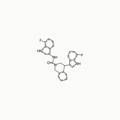 O=C(Nc1c[nH]c2c(F)cccc12)N1Cc2ccccc2C(c2c[nH]c3c(F)cccc23)C1